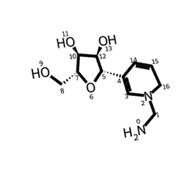 NCN1C=C([C@@H]2O[C@H](CO)[C@@H](O)[C@H]2O)C=CC1